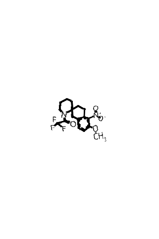 COc1ccc2c(c1[N+](=O)[O-])CCC1(CCCCN1C(=O)C(F)(F)F)C2